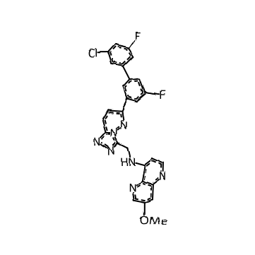 COc1cnc2c(NCc3nnc4ccc(-c5cc(F)cc(-c6cc(F)cc(Cl)c6)c5)nn34)ccnc2c1